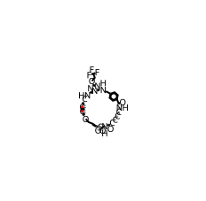 O=C1CCCCNC(=O)c2ccc(cc2)Nc2nc(nc(OCC(F)(F)F)n2)NCc2ccc(cc2)OC/C=C/S(=O)(=O)N1